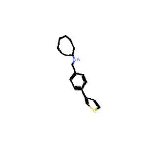 c1cc(-c2ccc(CNC3CCCCCC3)cc2)cs1